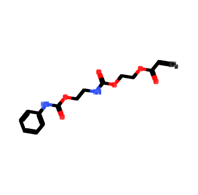 C=CC(=O)OCCOC(=O)NCCOC(=O)Nc1ccccc1